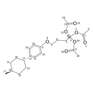 CC(=O)O[Si](CCCOc1ccc([C@H]2CC[C@H](C)CC2)cc1)(OC(C)=O)OC(C)=O